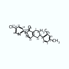 Cc1ccc(C2CCc3c(cnn(-c4ccc(Cl)cn4)c3=O)C2)c(C)c1